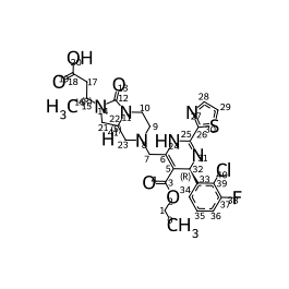 CCOC(=O)C1=C(CN2CCN3C(=O)N([C@H](C)CC(=O)O)C[C@@H]3C2)NC(c2nccs2)=N[C@H]1c1cccc(F)c1Cl